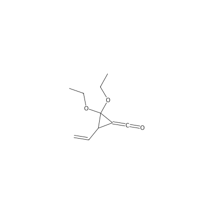 C=CC1C(=C=O)C1(OCC)OCC